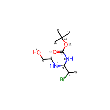 CC(Br)[C@@H](NCCO)NC(=O)OC(C)(C)C